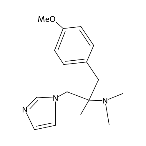 COc1ccc(CC(C)(Cn2ccnc2)N(C)C)cc1